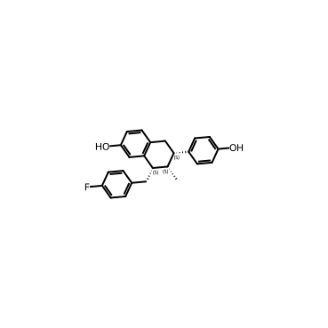 C[C@H]1[C@@H](c2ccc(O)cc2)Cc2ccc(O)cc2[C@H]1Cc1ccc(F)cc1